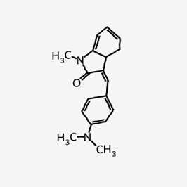 CN1C(=O)C(=Cc2ccc(N(C)C)cc2)C2CC=CC=C21